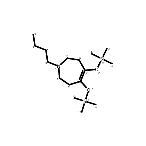 CCCCN1CCC(O[Si](C)(C)C)=C(O[Si](C)(C)C)CC1